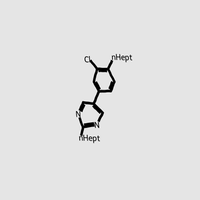 CCCCCCCc1ncc(-c2ccc(CCCCCCC)c(Cl)c2)cn1